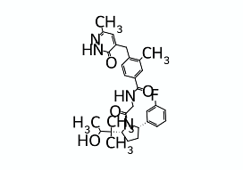 Cc1cc(Cc2ccc(C(=O)NCC(=O)N3[C@H](c4cccc(F)c4)CC[C@@H]3C(C)(C)C(C)O)cc2C)c(=O)[nH]n1